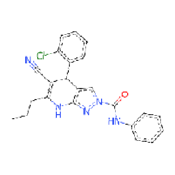 CCCC1=C(C#N)C(c2ccccc2Cl)c2cn(C(=O)Nc3ccccc3)nc2N1